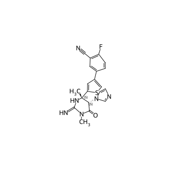 CN1C(=N)N[C@](C)(c2cc(-c3ccc(F)c(C#N)c3)cs2)[C@H](n2ccnc2)C1=O